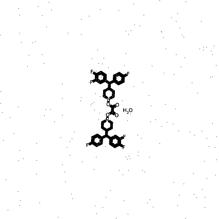 O.O=C(ON1CCC(C(c2ccc(F)cc2)c2ccc(F)c(F)c2)CC1)C(=O)ON1CCC(C(c2ccc(F)cc2)c2ccc(F)c(F)c2)CC1